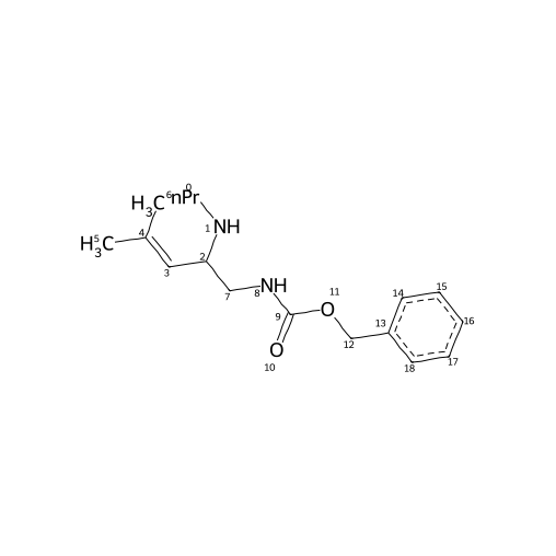 CCCNC(C=C(C)C)CNC(=O)OCc1ccccc1